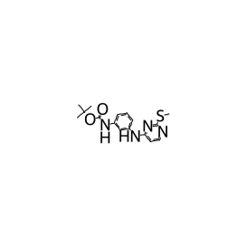 CSc1nccc(Nc2cccc(NC(=O)OC(C)(C)C)c2)n1